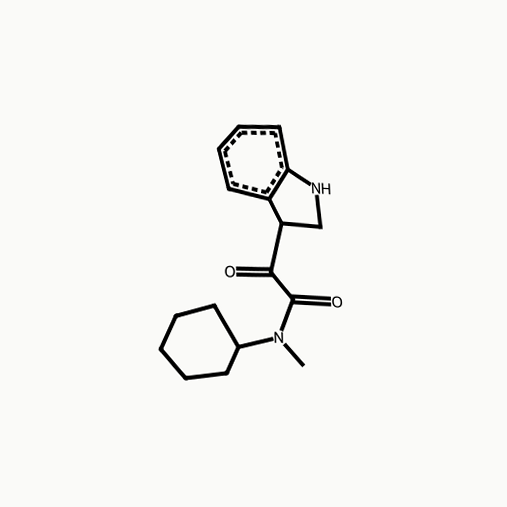 CN(C(=O)C(=O)C1CNc2ccccc21)C1CCCCC1